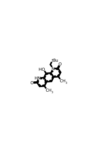 Cc1cc(=O)[nH]c2c(O)c3c(cc12)c(C)cc(=O)n3CC(C)(C)C